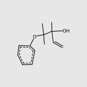 [CH]=CC(C)(O)C(C)(C)Oc1ccccc1